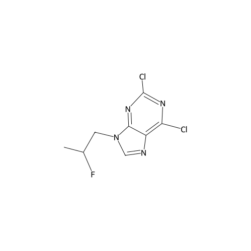 CC(F)Cn1cnc2c(Cl)nc(Cl)nc21